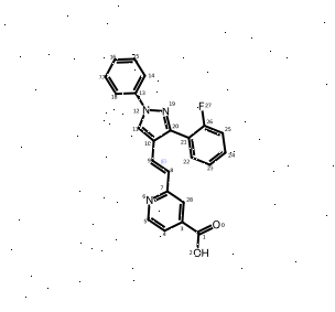 O=C(O)c1ccnc(/C=C/c2cn(-c3ccccc3)nc2-c2ccccc2F)c1